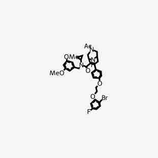 COc1cc(CN(C(=O)C2=C(c3ccc(OCCOc4cc(F)ccc4Br)cc3)CC3CN(C(C)=O)CC2N3)C2CC2)cc(OC)c1